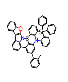 Cc1ccccc1-c1cc2c3c(c1)N1c4ccccc4[Si](c4ccccc4)(c4ccccc4)c4cccc(c41)B3n1c3oc4ccccc4c3c3cccc-2c31